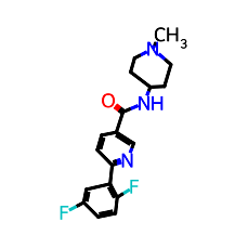 CN1CCC(NC(=O)c2ccc(-c3cc(F)ccc3F)nc2)CC1